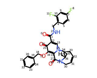 O=C(NCc1ccc(F)cc1F)c1cn2c(c(OCc3ccccc3)c1=O)C(=O)N1CC=CC[C@]23C[C@H]13